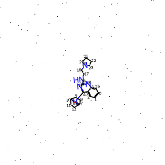 c1ccc2c(N3CC4CCC(CC4)C3)nc(NCCN3CCCC3)nc2c1